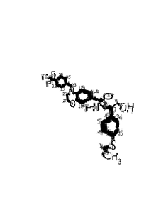 CCSc1ccc([C@H](CO)NC(=O)c2ccc3c(c2)OCCN3Cc2ccc(C(F)(F)F)cc2)cc1